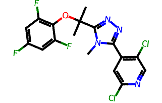 Cn1c(-c2cc(Cl)ncc2Cl)nnc1C(C)(C)Oc1c(F)cc(F)cc1F